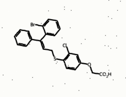 O=C(O)COc1ccc(SCC=C(c2ccccc2)c2ccccc2Br)c(Cl)c1